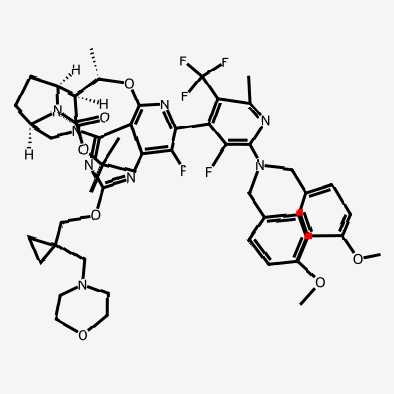 COc1ccc(CN(Cc2ccc(OC)cc2)c2nc(C)c(C(F)(F)F)c(-c3nc4c5c(nc(OCC6(CN7CCOCC7)CC6)nc5c3F)N3C[C@H]5CC[C@@H]([C@H]3[C@H](C)O4)N5C(=O)OC(C)(C)C)c2F)cc1